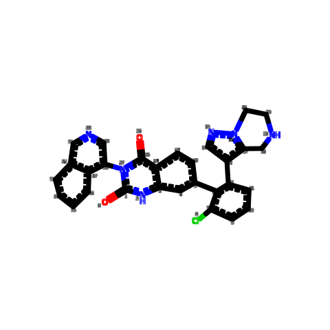 O=c1[nH]c2cc(-c3c(Cl)cccc3-c3cnn4c3CNCC4)ccc2c(=O)n1-c1cncc2ccccc12